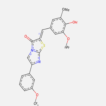 CCCOc1cc(/C=c2\sc3nc(-c4cccc(OC(F)(F)F)c4)cn3c2=O)cc(OC)c1O